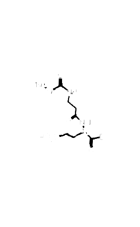 CCC(=O)N(CCC(=O)O)NC(=O)CCNC(=O)OC(C)(C)C